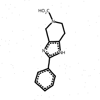 O=C(O)N1CCc2[nH]c(-c3ccccc3)nc2C1